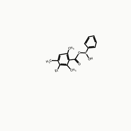 CCc1c(C)cc(C)c(C(=O)OP(O)c2ccccc2)c1C